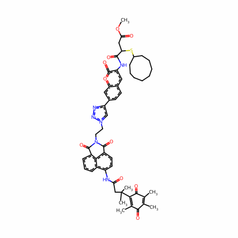 COC(=O)CC(SC1CCCCCCCC1)C(=O)Nc1cc2ccc(-c3cn(CCN4C(=O)c5cccc6c(NC(=O)CC(C)(C)C7=C(C)C(=O)C(C)=C(C)C7=O)ccc(c56)C4=O)nn3)cc2oc1=O